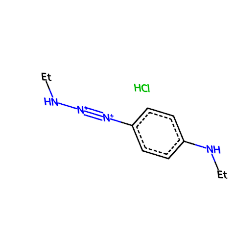 CCN[N+]#[N+]c1ccc(NCC)cc1.Cl